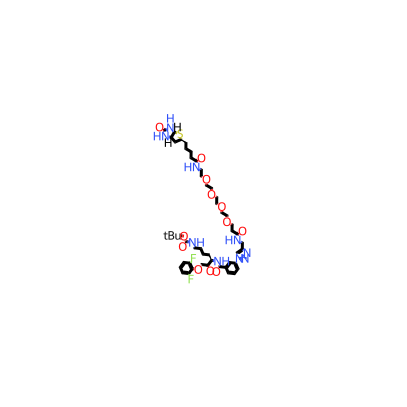 CC(C)(C)OC(=O)NCCCC[C@@H](NC(=O)c1cccc(-n2cc(CNC(=O)CCOCCOCCOCCOCCNC(=O)CCCC[C@H]3C[C@@H]4NC(=O)N[C@@H]4S3)nn2)c1)C(=O)COc1c(F)cccc1F